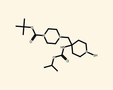 CC(C)OC(=O)NC1(CN2CCN(C(=O)OC(C)(C)C)CC2)CCN(S)CC1